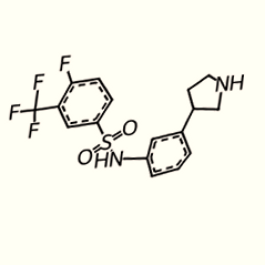 O=S(=O)(Nc1cccc(C2CCNC2)c1)c1ccc(F)c(C(F)(F)F)c1